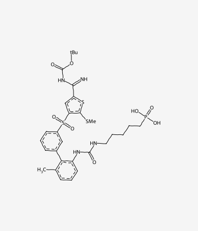 CSc1sc(C(=N)NC(=O)OC(C)(C)C)cc1S(=O)(=O)c1cccc(-c2c(C)cccc2NC(=O)NCCCCCP(=O)(O)O)c1